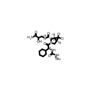 CC(C)(C)NC(=O)N[C@H](C(=O)N1C[C@H]2[C@@H]([C@H]1C(=O)NCC(O)C(N)=O)C2(Cl)Cl)C1CCCCC1